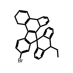 CCC1c2ccccc2C2(C3=C(C4=C(C=CCC4)C4C=CC=CC34)c3ccc(Br)cc32)c2ccccc21